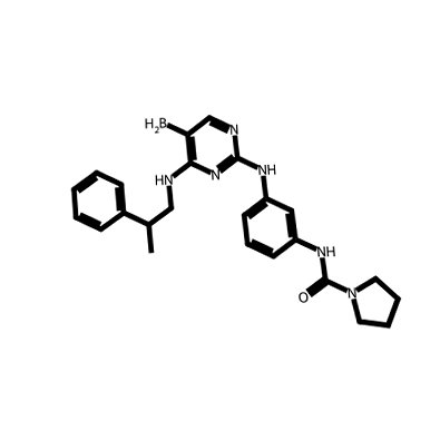 Bc1cnc(Nc2cccc(NC(=O)N3CCCC3)c2)nc1NCC(C)c1ccccc1